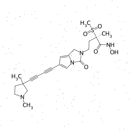 CN1CCC(C)(C#CC#Cc2cc3n(c2)C(=O)N(CC[C@](C)(C(=O)NO)S(C)(=O)=O)C3)C1